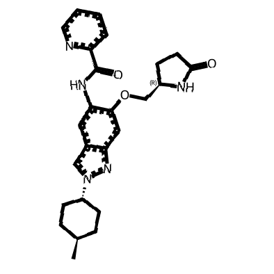 C[C@H]1CC[C@H](n2cc3cc(NC(=O)c4ccccn4)c(OC[C@H]4CCC(=O)N4)cc3n2)CC1